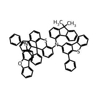 CC1(C)c2ccccc2-c2c(N(c3cc(-c4ccccc4)c4sc5ccccc5c4c3)c3cccc4c3Sc3cccc(N(c5ccccc5)c5ccc6c(c5)oc5ccccc56)c3C43c4ccccc4-c4ccccc43)cccc21